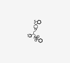 CN(CC(CCN1CCC2(CC1)CSc1ccccc12)c1ccsc1)S(=O)(=O)c1ccccc1